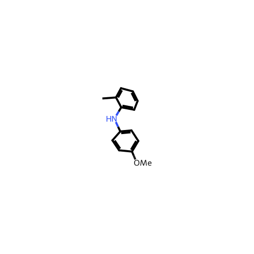 COc1ccc(Nc2ccccc2C)cc1